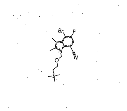 Cc1c(C)n(COCCS(C)(C)C)c2c(C#N)cc(F)c(Br)c12